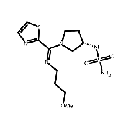 COCCC/N=C(/c1nccs1)N1CC[C@H](NS(N)(=O)=O)C1